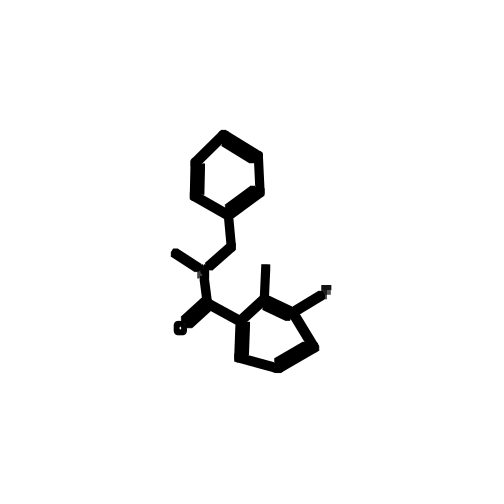 Cc1c(F)cccc1C(=O)N(C)Cc1ccccc1